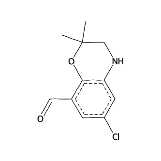 CC1(C)CNc2cc(Cl)cc(C=O)c2O1